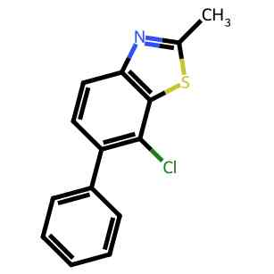 Cc1nc2ccc(-c3ccccc3)c(Cl)c2s1